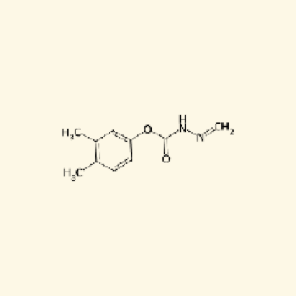 C=NNC(=O)Oc1ccc(C)c(C)c1